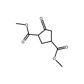 COC(=O)C1CC(=O)C(C(=O)OC)C1